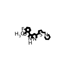 COc1c(F)cccc1-c1c[nH]c2ncc(C3=CCC(CN4CCCCC4)S3)cc12